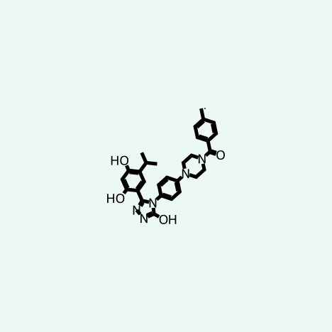 [CH2]c1ccc(C(=O)N2CCN(c3ccc(-n4c(O)nnc4-c4cc(C(C)C)c(O)cc4O)cc3)CC2)cc1